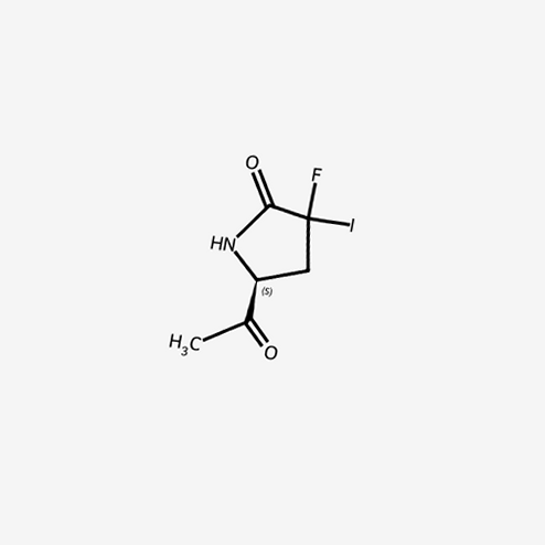 CC(=O)[C@@H]1CC(F)(I)C(=O)N1